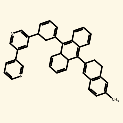 Cc1ccc2c(c1)CCC(C1=c3ccccc3=C(C3=CC=CC(c4cncc(-c5cccnc5)c4)C3)C3C=CC=CC13)=C2